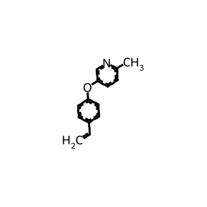 C=Cc1ccc(Oc2ccc(C)nc2)cc1